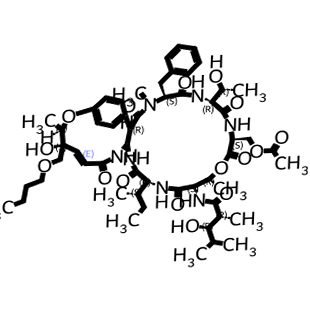 CCCCOC[C@@]1(O)/C=C/C(=O)NC2NC(=O)[C@@H]([C@@H](C)CC)NC(=O)[C@@H](NC(=O)[C@H](C)[C@H](O)C(C)C)[C@@H](C)OC(=O)[C@H](COC(C)=O)NC(=O)[C@@H]([C@@H](C)O)NC(=O)[C@H](Cc3ccccc3)N(C)C(=O)[C@@H]2c2ccc(cc2)O[C@@H]1C